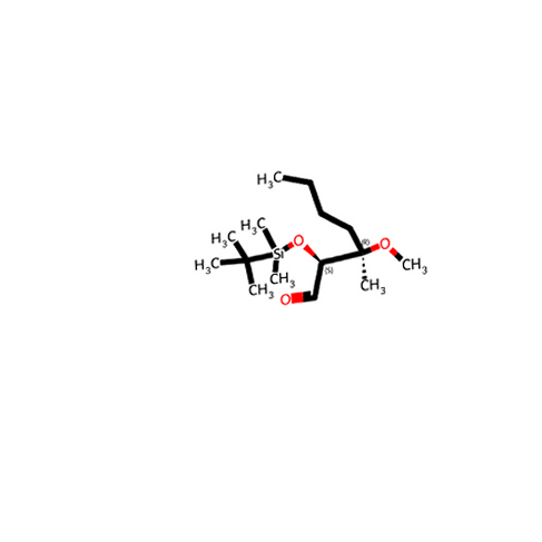 CCCC[C@@](C)(OC)[C@@H](C=O)O[Si](C)(C)C(C)(C)C